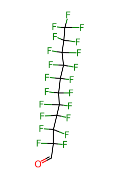 O=CC(F)(F)C(F)(F)C(F)(F)C(F)(F)C(F)(F)C(F)(F)C(F)(F)C(F)(F)C(F)(F)C(F)(F)F